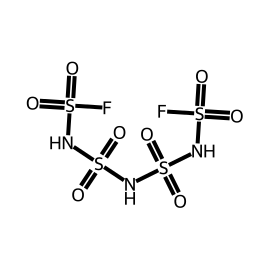 O=S(=O)(F)NS(=O)(=O)NS(=O)(=O)NS(=O)(=O)F